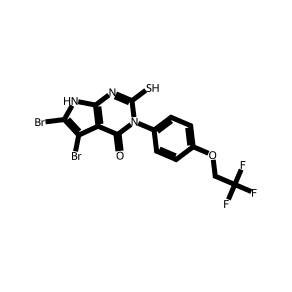 O=c1c2c(Br)c(Br)[nH]c2nc(S)n1-c1ccc(OCC(F)(F)F)cc1